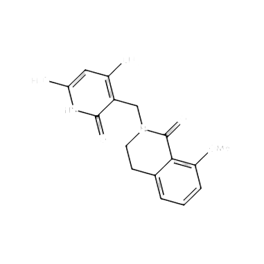 COc1cccc2c1C(=O)N(Cc1c(C)cc(C)[nH]c1=O)CC2